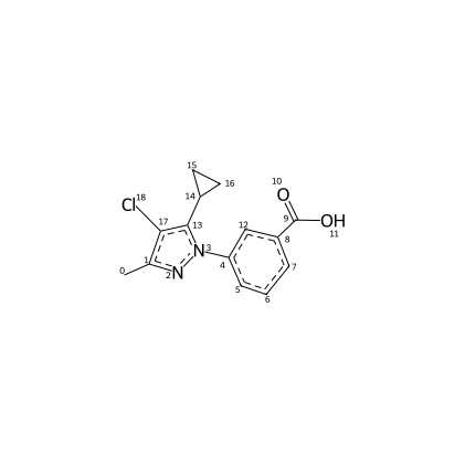 Cc1nn(-c2cccc(C(=O)O)c2)c(C2CC2)c1Cl